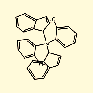 Cc1ccccc1[Si](c1ccccc1C)(C1C=Cc2ccccc21)C1C=Cc2ccccc21